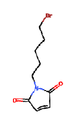 O=C1C=CC(=O)N1CCCCCBr